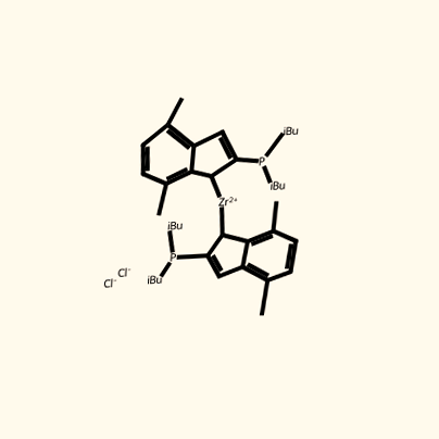 CCC(C)P(C1=Cc2c(C)ccc(C)c2[CH]1[Zr+2][CH]1C(P(C(C)CC)C(C)CC)=Cc2c(C)ccc(C)c21)C(C)CC.[Cl-].[Cl-]